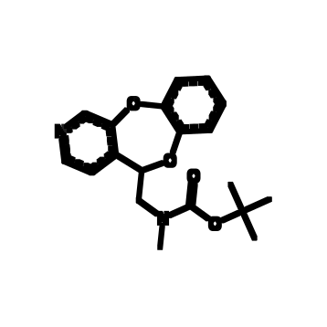 CN(CC1Oc2ccccc2Oc2cnccc21)C(=O)OC(C)(C)C